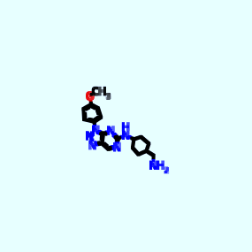 COc1ccc(-n2nnc3cnc(NC4CCC(CN)CC4)nc32)cc1